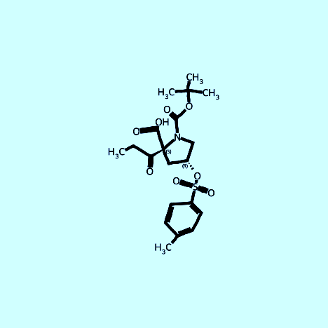 CCC(=O)[C@]1(C(=O)O)C[C@@H](OS(=O)(=O)c2ccc(C)cc2)CN1C(=O)OC(C)(C)C